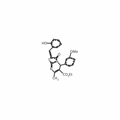 CCOC(=O)C1=C(C)N=c2sc(=Cc3ccccc3O)c(=O)n2C1c1cccc(OC)c1